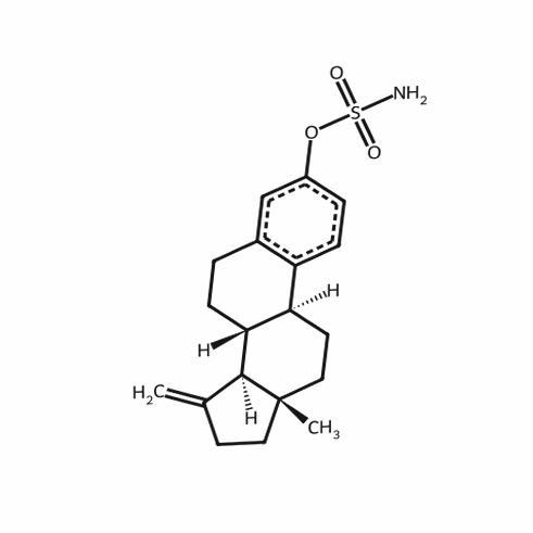 C=C1CC[C@@]2(C)CC[C@@H]3c4ccc(OS(N)(=O)=O)cc4CC[C@H]3[C@H]12